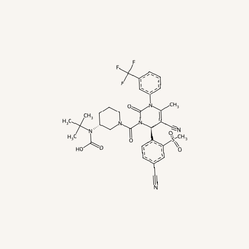 CC1=C(C#N)[C@@H](c2ccc(C#N)cc2S(C)(=O)=O)N(C(=O)N2CCC[C@@H](N(C(=O)O)C(C)(C)C)C2)C(=O)N1c1cccc(C(F)(F)F)c1